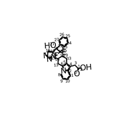 O=C(O)Cc1c2c(n3ccccc13)CC(n1nncc1C(O)(c1ccccc1)C(F)(F)F)CC2